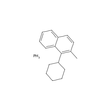 Cc1ccc2ccccc2c1C1CCCCC1.P